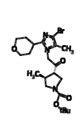 Cc1c(Br)nc(C2CCOCC2)n1CC(=O)[C@@H]1CN(C(=O)OC(C)(C)C)C[C@H]1C